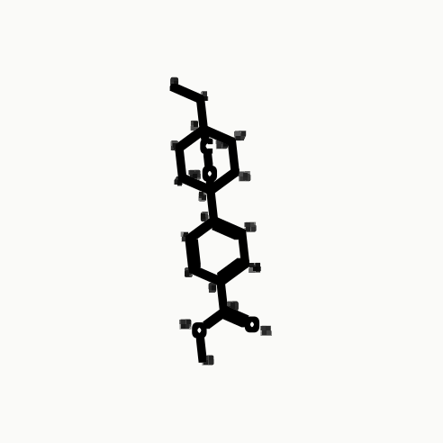 CCC12CCC(c3ccc(C(=O)OC)cc3)(CC1)OC2